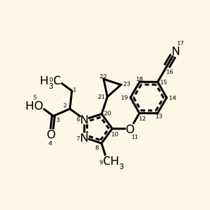 CCC(C(=O)O)n1nc(C)c(Oc2ccc(C#N)cc2)c1C1CC1